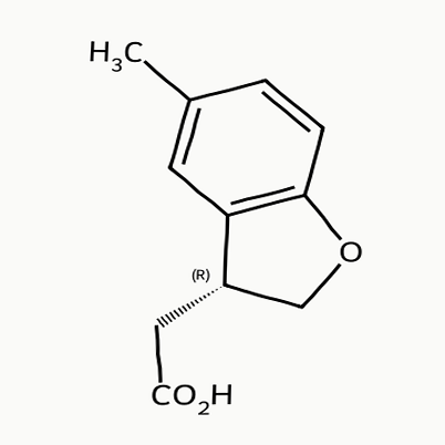 Cc1ccc2c(c1)[C@@H](CC(=O)O)CO2